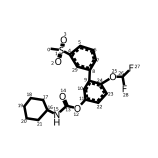 CS(=O)(=O)c1cccc(-c2cc(OC(=O)NC3CCCCC3)ccc2OC(F)F)c1